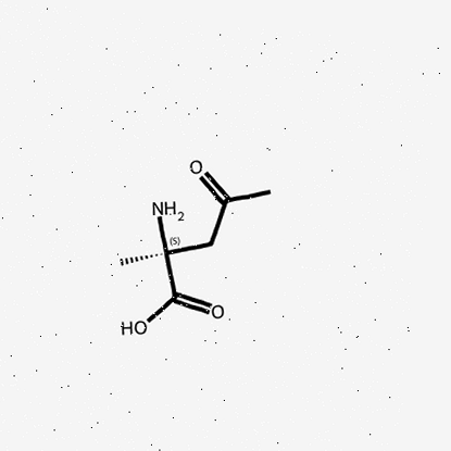 CC(=O)C[C@](C)(N)C(=O)O